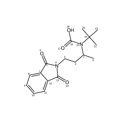 CC(CCN1C(=O)c2ccccc2C1=O)N(C(=O)O)C(C)(C)C